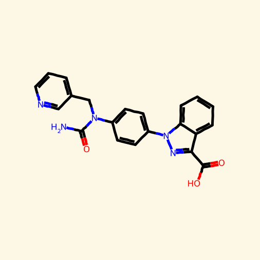 NC(=O)N(Cc1cccnc1)c1ccc(-n2nc(C(=O)O)c3ccccc32)cc1